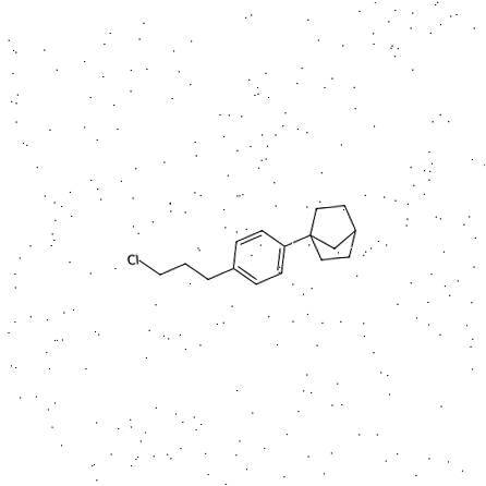 ClCCCc1ccc(C23CCC(CC2)C3)cc1